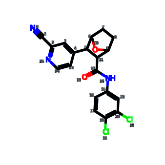 N#Cc1cc(C2C3CCC(O3)C2C(=O)Nc2ccc(Cl)c(Cl)c2)ccn1